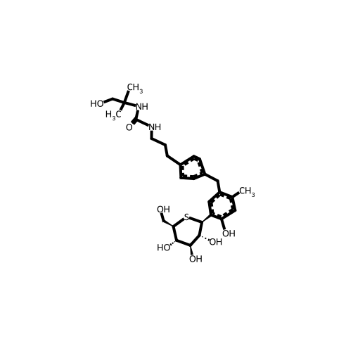 Cc1cc(O)c([C@@H]2S[C@H](CO)[C@@H](O)[C@H](O)[C@H]2O)cc1Cc1ccc(CCCNC(=O)NC(C)(C)CO)cc1